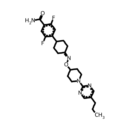 CCCc1cnc(N2CCC(ON=C3CCC(c4cc(F)c(C(N)=O)cc4F)CC3)CC2)nc1